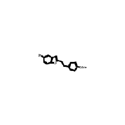 COc1ccc(CCc2cc3cc(Br)ccc3o2)cc1